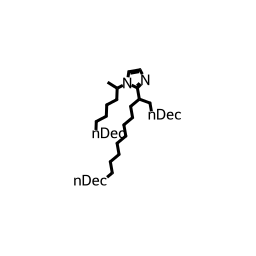 CCCCCCCCCCCCCCCCCCC(CCCCCCCCCCC)c1nccn1C(C)CCCCCCCCCCCCCC